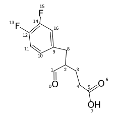 O=CC(CCC(=O)O)Cc1ccc(F)c(F)c1